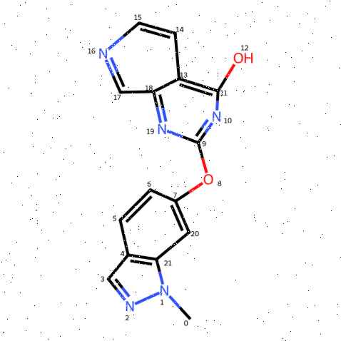 Cn1ncc2ccc(Oc3nc(O)c4ccncc4n3)cc21